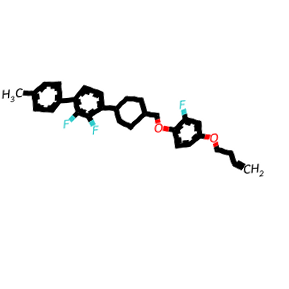 C=CCCOc1ccc(OCC2CCC(c3ccc(-c4ccc(C)cc4)c(F)c3F)CC2)c(F)c1